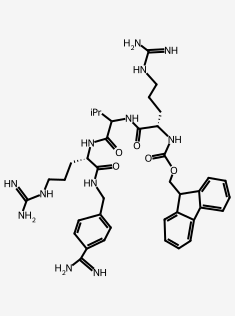 CC(C)C(NC(=O)[C@H](CCCNC(=N)N)NC(=O)OCC1c2ccccc2-c2ccccc21)C(=O)N[C@@H](CCCNC(=N)N)C(=O)NCc1ccc(C(=N)N)cc1